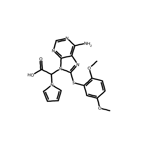 COc1ccc(OC)c(Sc2nc3c(N)ncnc3n2C(C(=O)O)n2cccc2)c1